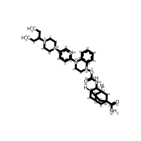 CCC(CC)N1CCN(c2ccc(N3CCN(OC(=O)NC4[C@@H]5CC6C[C@H]4CC(C(N)=O)(C6)C5)c4ccccc43)nc2)CC1